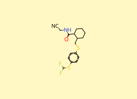 N#CCNC(=O)C1CCCCC1CSc1ccc(SC(F)F)cc1